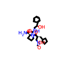 NC(=O)[C@@H]1CCC[N+]1(C(=O)NC[C@H](O)c1ccccc1)C(=O)[C@H](CC1CCCC1)CN(O)C=O